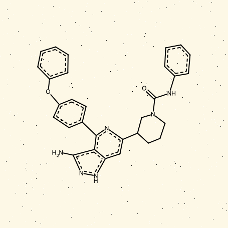 Nc1n[nH]c2cc(C3CCCN(C(=O)Nc4ccccc4)C3)nc(-c3ccc(Oc4ccccc4)cc3)c12